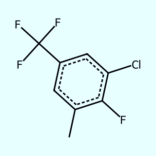 Cc1cc(C(F)(F)F)cc(Cl)c1F